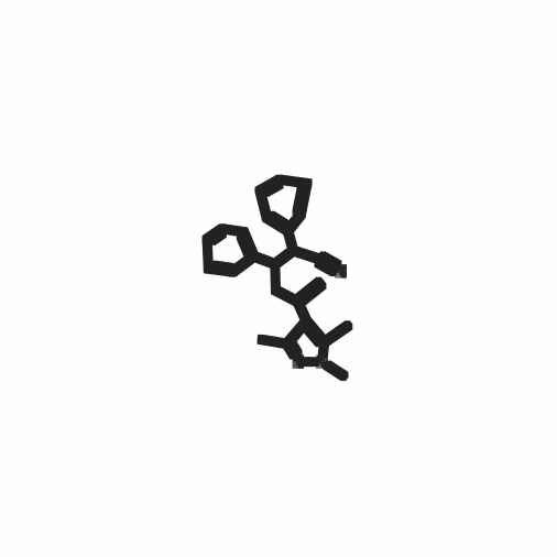 C=C(CC(c1ccccc1)C(C#N)c1ccccc1)c1c(C)nn(C)c1C